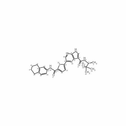 C[C@H](NC(=O)c1c[nH]c2ncc(-c3ccc(C(=O)Nc4ccc5c(c4)CCCC5)s3)nc12)C(C)(C)C